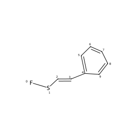 FSC=Cc1ccccc1